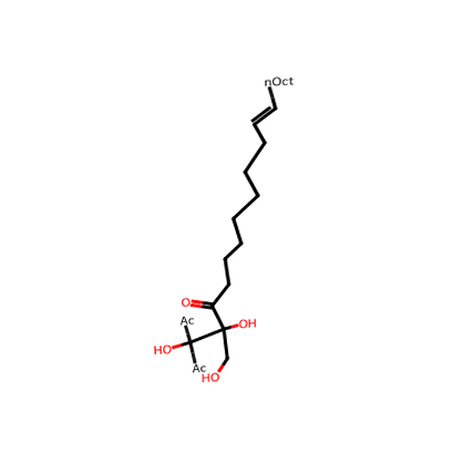 CCCCCCCCC=CCCCCCCCC(=O)C(O)(CO)C(O)(C(C)=O)C(C)=O